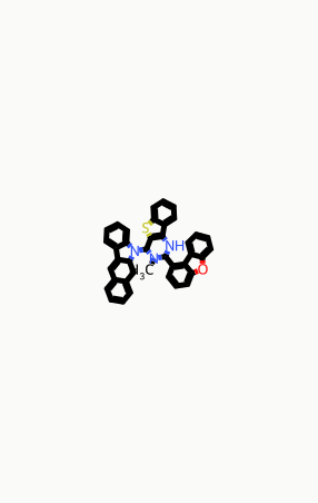 CN1C(c2cccc3oc4ccccc4c23)Nc2c(sc3ccccc23)C1N1c2ccccc2C2=Cc3ccccc3CC21